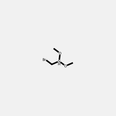 CO[SiH](CBr)OC